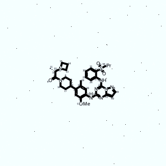 COc1cc(C2CCN(C(=O)[C@H](C)N3CCC3)CC2)c(C)cc1Nc1nc(Nc2ccccc2S(=O)(=O)C(C)C)n2nccc2n1